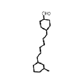 CC1CCCC(CCCCCCC2CCC(C=O)CC2)C1